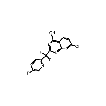 Oc1nc(C(F)(F)c2ccc(F)cn2)nc2cc(Cl)ccc12